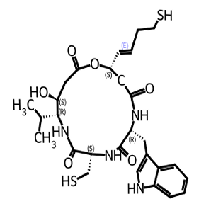 CC(C)[C@H]1NC(=O)[C@@H](CS)NC(=O)[C@@H](Cc2c[nH]c3ccccc23)NC(=O)C[C@@H](/C=C/CCS)OC(=O)C[C@@H]1O